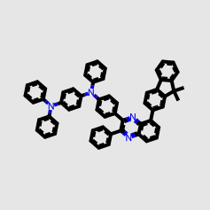 CC1(C)c2ccccc2-c2ccc(-c3cccc4nc(-c5ccccc5)c(-c5ccc(N(c6ccccc6)c6ccc(N(c7ccccc7)c7ccccc7)cc6)cc5)nc34)cc21